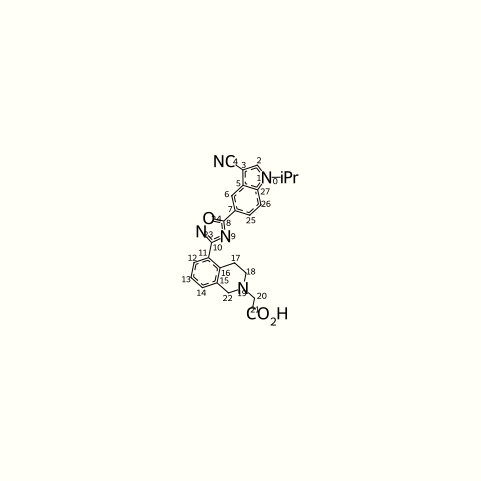 CC(C)n1cc(C#N)c2cc(-c3nc(-c4cccc5c4CCN(CC(=O)O)C5)no3)ccc21